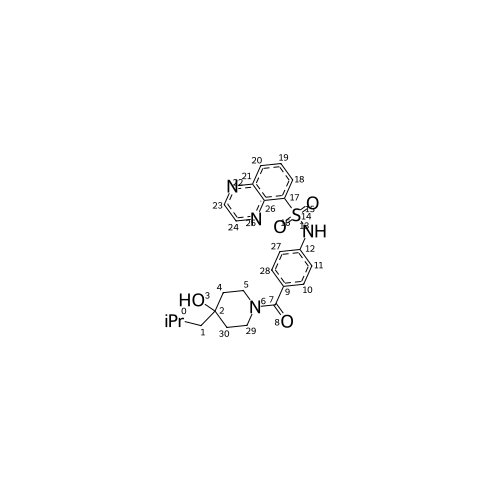 CC(C)CC1(O)CCN(C(=O)c2ccc(NS(=O)(=O)c3cccc4nccnc34)cc2)CC1